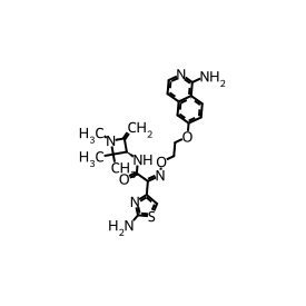 C=C1[C@@H](NC(=O)/C(=N\OCCOc2ccc3c(N)nccc3c2)c2csc(N)n2)C(C)(C)N1C